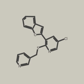 Clc1cnc(SCc2cccnc2)c(-c2cc3ccccc3o2)c1